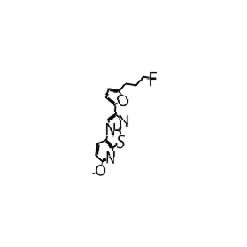 COc1ccc2c(n1)sc1nc(-c3ccc(CCCF)o3)cn12